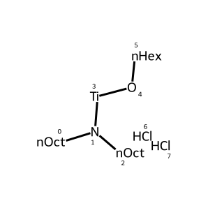 CCCCCCCC[N](CCCCCCCC)[Ti][O]CCCCCC.Cl.Cl